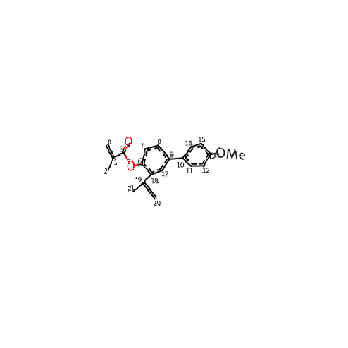 C=C(C)C(=O)Oc1ccc(-c2ccc(OC)cc2)cc1C(=C)C